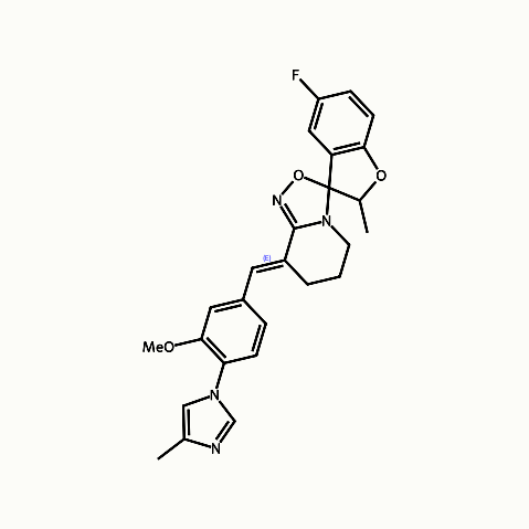 COc1cc(/C=C2\CCCN3C2=NOC32c3cc(F)ccc3OC2C)ccc1-n1cnc(C)c1